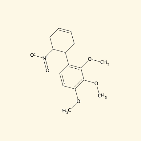 COc1ccc(C2CC=CCC2[N+](=O)[O-])c(OC)c1OC